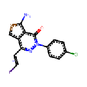 Nc1scc2c(/C=C/I)nn(-c3ccc(Cl)cc3)c(=O)c12